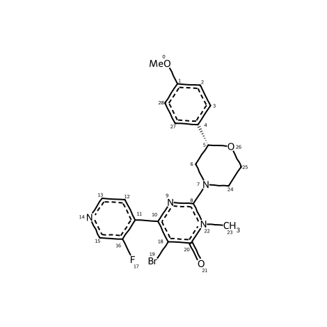 COc1ccc([C@H]2CN(c3nc(-c4ccncc4F)c(Br)c(=O)n3C)CCO2)cc1